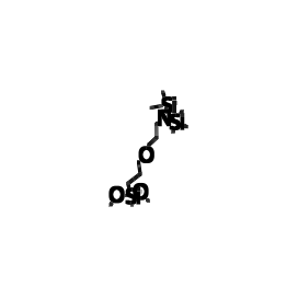 CO[Si](C)(CCCOCCCN([Si](C)(C)C)[Si](C)(C)C)OC